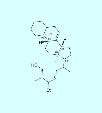 CCC(C=CC(C)[C@H]1CC[C@H]2C3=CCC4CCCC[C@]4(C)[C@H]3CC[C@]12C)C(C)=CO